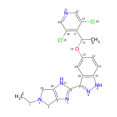 CCN1Cc2nc(-c3n[nH]c4ccc(OC(C)c5c(Cl)cncc5Cl)cc34)[nH]c2C1